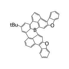 CC(C)(C)c1cc2c3c(c1)-c1cccc4c1c(cc1oc5ccccc5c14)B3c1cc3oc4ccccc4c3c3cccc-2c13